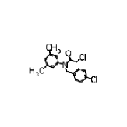 Cc1cc(C)cc(N(Cc2ccc(Cl)cc2)C(=O)CCl)c1